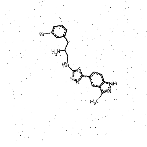 Cc1n[nH]c2ccc(-c3nnc(NCC(N)Cc4cccc(Br)c4)s3)cc12